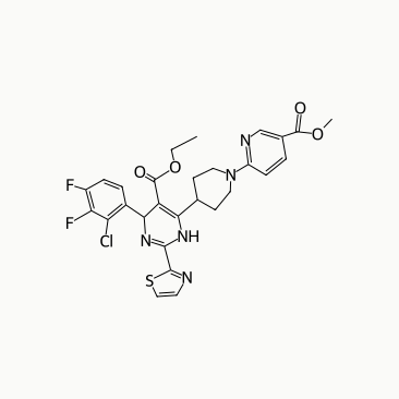 CCOC(=O)C1=C(C2CCN(c3ccc(C(=O)OC)cn3)CC2)NC(c2nccs2)=NC1c1ccc(F)c(F)c1Cl